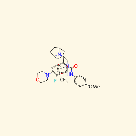 COc1ccc(NC(=O)N(CC2CC3CCC(C2)N3Cc2ccc(C(F)(F)F)cc2)c2ccc(N3CCOCC3)c(F)c2)cc1